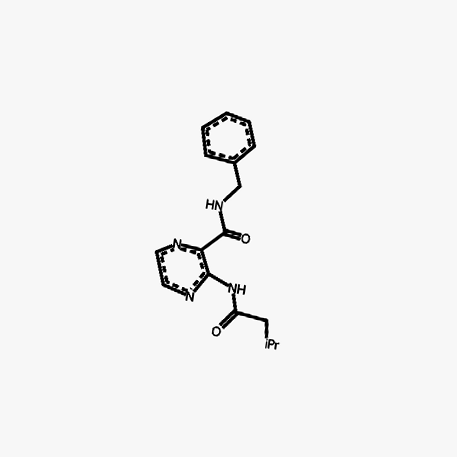 CC(C)CC(=O)Nc1nccnc1C(=O)NCc1ccccc1